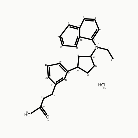 CCN(c1cccc2ccccc12)C1CCC(c2cccc(CCC(=O)O)c2)C1.Cl